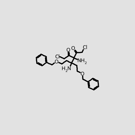 NC(CCOCc1ccccc1)(CCOCc1ccccc1)C(N)(C(=O)CCl)C(=O)CCl